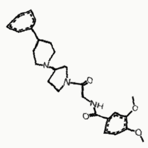 COc1ccc(C(=O)NCC(=O)N2CCC(N3CCC(c4ccccc4)CC3)C2)cc1OC